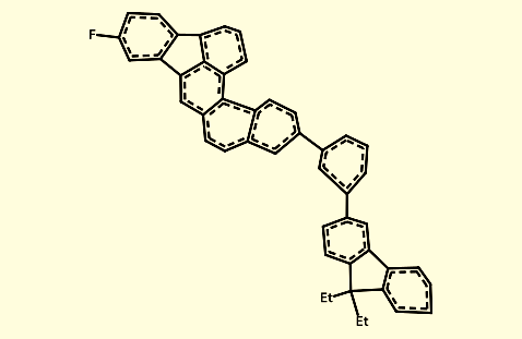 CCC1(CC)c2ccccc2-c2cc(-c3cccc(-c4ccc5c(ccc6cc7c8c(cccc8c65)-c5ccc(F)cc5-7)c4)c3)ccc21